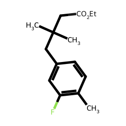 CCOC(=O)CC(C)(C)Cc1ccc(C)c(F)c1